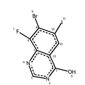 Oc1ncnc2c(F)c(Br)c(I)cc12